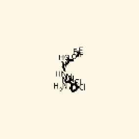 CN(CCNc1nnc(-c2cccc(Cl)c2Cl)c(N)n1)C[C@@H](O)COCC(F)(F)F